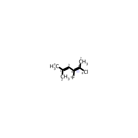 CC(C)=C/C(F)=C(\C)Cl